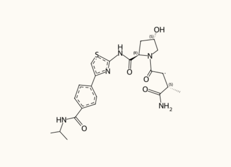 CC(C)NC(=O)c1ccc(-c2csc(NC(=O)[C@H]3C[C@H](O)CN3C(=O)[CH][C@H](C)C(N)=O)n2)cc1